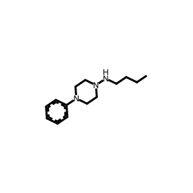 CCCCNN1CCN(c2ccccc2)CC1